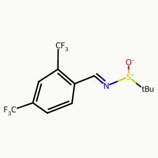 CC(C)(C)[S+]([O-])N=Cc1ccc(C(F)(F)F)cc1C(F)(F)F